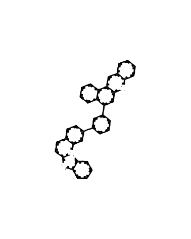 c1cc(-c2ccc3ccc4nc5ccccc5n4c3c2)cc(-c2cc3nc4ccccc4cc3c3ccccc23)c1